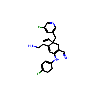 C=CC1(Cc2cncc(F)c2)CC(C=N)=C(NC2=CC=C(F)CC2)C=C1CCN